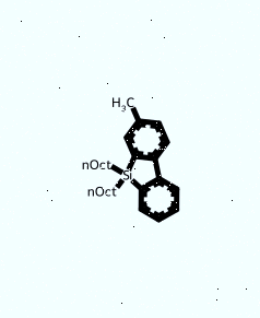 CCCCCCCC[Si]1(CCCCCCCC)c2ccccc2-c2ccc(C)cc21